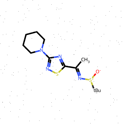 C/C(=N\[S+]([O-])C(C)(C)C)c1nc(N2CCCCC2)ns1